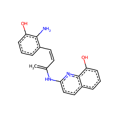 C=C(/C=C\c1cccc(O)c1N)Nc1ccc2cccc(O)c2n1